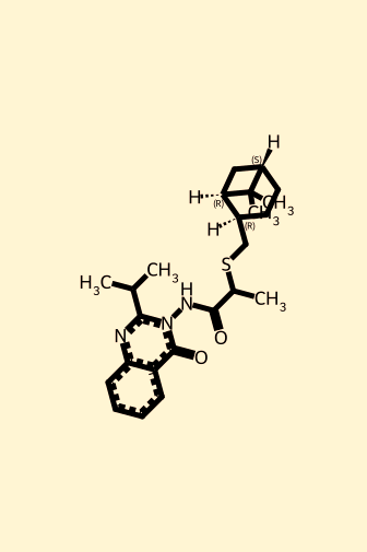 CC(SC[C@@H]1CC[C@H]2C[C@H]1C2(C)C)C(=O)Nn1c(C(C)C)nc2ccccc2c1=O